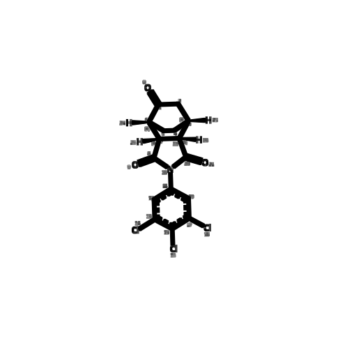 O=C1C[C@H]2CC[C@@H]1[C@H]1C(=O)N(c3cc(Cl)c(Cl)c(Cl)c3)C(=O)[C@@H]21